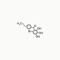 CCCc1ccc(C(=O)c2c(Br)cc(O)c(O)c2O)cc1